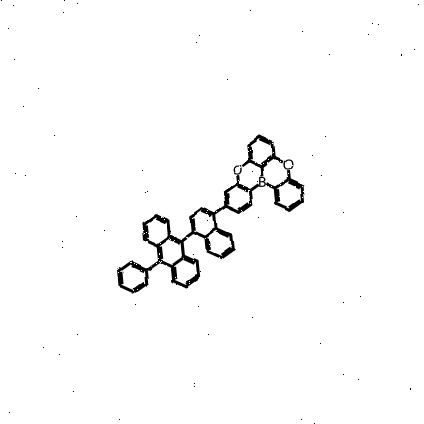 c1ccc(-c2c3ccccc3c(-c3ccc(-c4ccc5c(c4)Oc4cccc6c4B5c4ccccc4O6)c4ccccc34)c3ccccc23)cc1